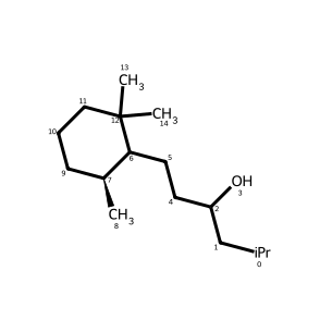 CC(C)CC(O)CCC1[C@@H](C)CCCC1(C)C